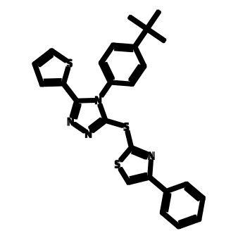 CC(C)(C)c1ccc(-n2c(Sc3nc(-c4ccccc4)cs3)nnc2-c2cccs2)cc1